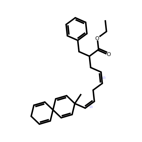 CCOC(=O)C(C/C=C\C/C=C\C1(C)C=CC2(C=CCC=C2)C=C1)Cc1ccccc1